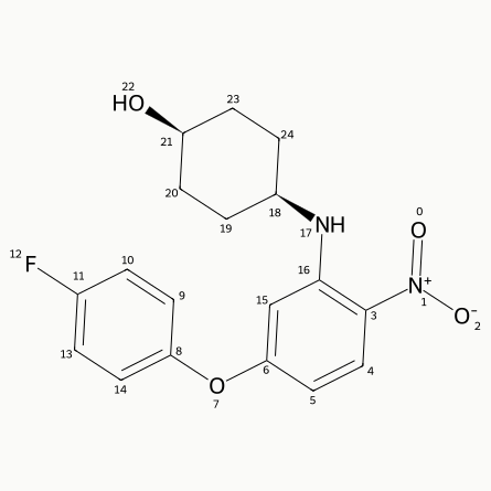 O=[N+]([O-])c1ccc(Oc2ccc(F)cc2)cc1N[C@H]1CC[C@@H](O)CC1